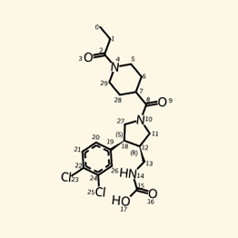 CCC(=O)N1CCC(C(=O)N2C[C@@H](CNC(=O)O)[C@@H](c3ccc(Cl)c(Cl)c3)C2)CC1